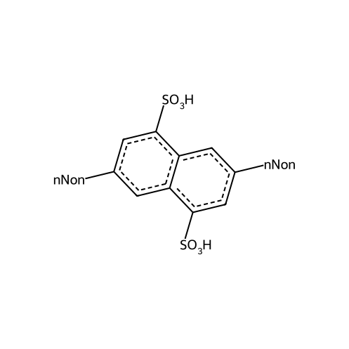 CCCCCCCCCc1cc(S(=O)(=O)O)c2cc(CCCCCCCCC)cc(S(=O)(=O)O)c2c1